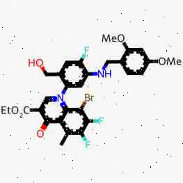 CCOC(=O)c1cn(-c2cc(NCc3ccc(OC)cc3OC)c(F)cc2CO)c2c(Br)c(F)c(F)c(C)c2c1=O